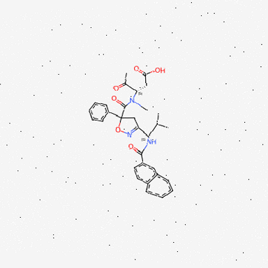 CC(=O)[C@H](CC(=O)O)N(C)C(=O)C1(c2ccccc2)CC([C@@H](NC(=O)c2ccc3ccccc3c2)C(C)C)=NO1